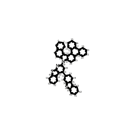 c1ccc2c(c1)ccc1c2c2c3c4ccccc4c4ccccc4c3ccc2n1-c1cc(-c2ccc3c(c2)sc2ccccc23)c2c(n1)sc1ccccc12